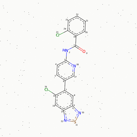 O=C(Nc1ccc(-c2cc3nsnc3cc2Cl)cn1)c1ccccc1Cl